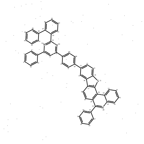 c1ccc(-c2cc(-c3ccc(-c4ccc5sc6c(ccc7c(-c8ccccc8)nc8ccccc8c76)c5c4)cc3)nc(-c3ccccc3-c3ccccc3)n2)cc1